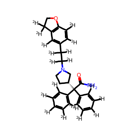 [2H]c1c([2H])c([2H])c(C(C(N)=O)(c2c([2H])c([2H])c([2H])c([2H])c2[2H])[C@@H]2CCN(C([2H])([2H])C([2H])([2H])c3c([2H])c([2H])c4c(c3[2H])C([2H])([2H])CO4)C2)c([2H])c1[2H]